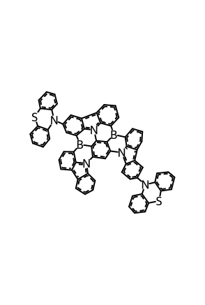 c1ccc2c(c1)Sc1ccccc1N2c1ccc2c(c1)c1cccc3c1n2-c1cc2c4c5c1B3c1cccc3c6cc(N7c8ccccc8Sc8ccccc87)cc(c6n-5c13)B4c1cccc3c4ccccc4n-2c13